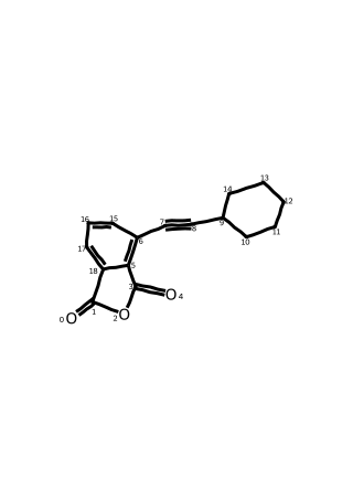 O=C1OC(=O)c2c(C#CC3CCCCC3)cccc21